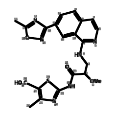 COC(CNc1nccc2ccc(-c3noc(C)n3)cc12)C(=O)Nc1nc(C)c(C(=O)O)s1